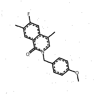 COc1ccc(Cn2cc(C)c3cc(F)c(C)cc3c2=O)cc1